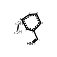 N=Cc1ccccc1.SS